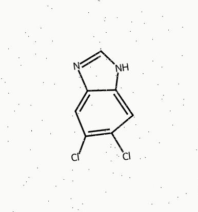 Clc1cc2n[c][nH]c2cc1Cl